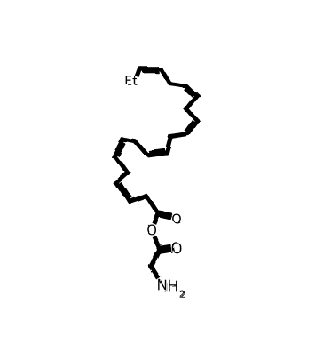 CC/C=C\C/C=C\C/C=C\C/C=C\C/C=C\C/C=C\CC(=O)OC(=O)CN